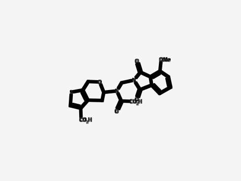 COc1cccc2c1C(=O)N(CN(C(=O)C(=O)O)C1Cc3c(C(=O)O)csc3CO1)C2=O